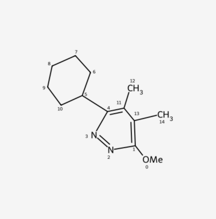 COc1nnc(C2CCCCC2)c(C)c1C